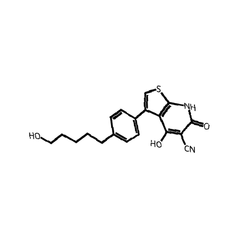 N#Cc1c(O)c2c(-c3ccc(CCCCCO)cc3)csc2[nH]c1=O